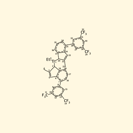 C[CH2][Ti]([CH]1C(C)=Cc2c(-c3cc(C(F)(F)F)cc(C(F)(F)F)c3)cccc21)[CH]1C(C)=Cc2c(-c3cc(C(F)(F)F)cc(C(F)(F)F)c3)cccc21